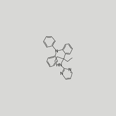 CCC(CC)(Nc1ncccn1)c1ccccc1N(c1ccccc1)c1ccccc1